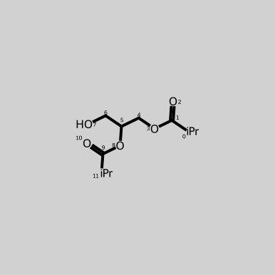 CC(C)C(=O)OCC(CO)OC(=O)C(C)C